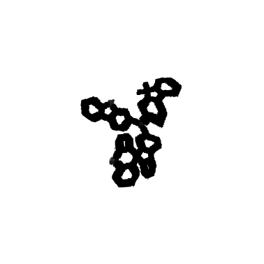 CC1(C)c2ccccc2-c2ccc(N(c3ccc4c(c3)C3(c5ccccc5Oc5ccccc53)c3ccccc3-4)c3ccc4c(c3)oc3ccccc34)cc21